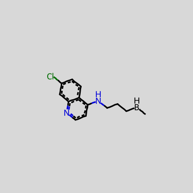 CBCCCNc1ccnc2cc(Cl)ccc12